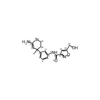 CC1(c2cccc(NC(=O)c3cc(CO)on3)c2)CCSC(N)=N1